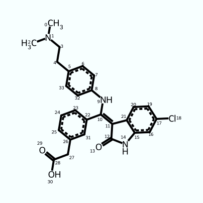 CN(C)CCc1ccc(NC(=C2C(=O)Nc3cc(Cl)ccc32)c2cccc(CC(=O)O)c2)cc1